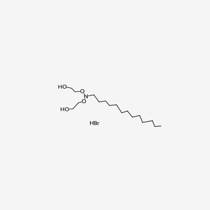 Br.CCCCCCCCCCCCCN(OCCO)OCCO